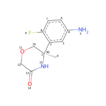 C[C@@]1(c2cc(N)ccc2F)COCC(=O)N1